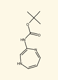 CC(C)(C)OC(=O)NC1=CNC=CC=N1